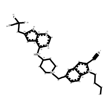 CCCCn1c(C#N)cc2cc(CN3CCC(Nc4ncnc5sc(CC(F)(F)F)cc45)CC3)ccc21